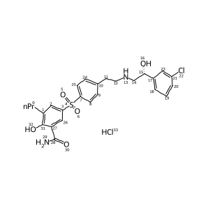 CCCc1cc(S(=O)(=O)c2ccc(CCNC[C@H](O)c3cccc(Cl)c3)cc2)cc(C(N)=O)c1O.Cl